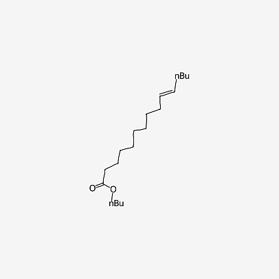 CCCCC=CCCCCCCCCC(=O)OCCCC